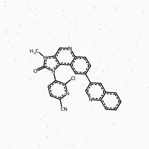 Cn1c(=O)n(-c2ccc(C#N)nc2Cl)c2c3cc(-c4cnc5ccccc5c4)ccc3ncc21